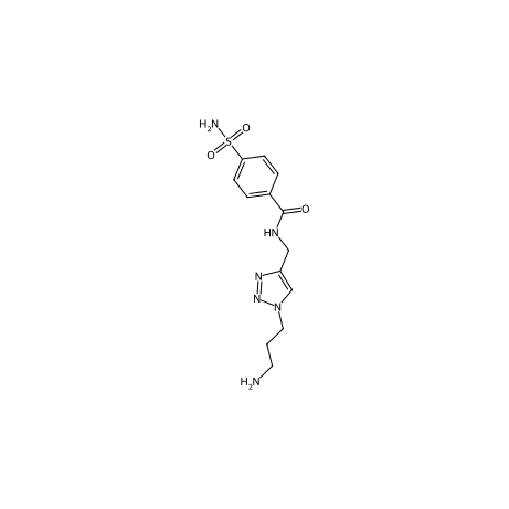 NCCCn1cc(CNC(=O)c2ccc(S(N)(=O)=O)cc2)nn1